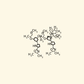 COC[C@H](C)Oc1cc(O)cc(-c2ccc(C3=N[C@H](C)[C@H](C)O3)[nH]2)c1.COC[C@H](C)Oc1cc(O[Si](C(C)C)(C(C)C)C(C)C)cc(-c2ccc(C3=N[C@H](C)[C@H](C)O3)[nH]2)c1